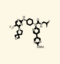 COc1ncc(-c2ccc(N(C(=O)NCC(F)F)[C@H]3CC[C@H](Nc4ncc(C(F)(F)F)c(N5CCC6(COC6)C5)n4)CC3)nc2)cn1